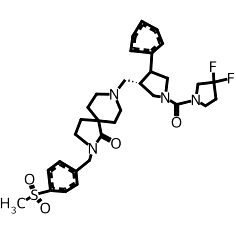 CS(=O)(=O)c1ccc(CN2CCC3(CCN(C[C@H]4CN(C(=O)N5CCC(F)(F)C5)CC4c4ccccc4)CC3)C2=O)cc1